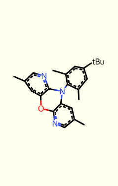 Cc1cnc2c(c1)Oc1ncc(C)cc1N2c1c(C)cc(C(C)(C)C)cc1C